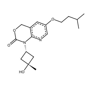 CC(C)CCOc1cnc2c(c1)COC(=O)N2[C@H]1C[C@@](C)(O)C1